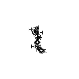 COC[C@H](NC(=S)c1cc(-c2ccc(Nc3nc4ccc(F)cc4s3)cc2)no1)C(=O)O